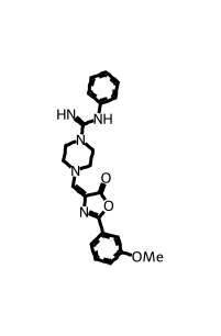 COc1cccc(C2=N/C(=C/N3CCN(C(=N)Nc4ccccc4)CC3)C(=O)O2)c1